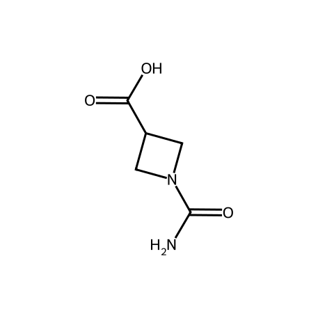 NC(=O)N1CC(C(=O)O)C1